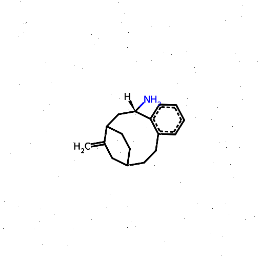 C=C1CC2CCc3ccccc3[C@@H](N)CC1CC2